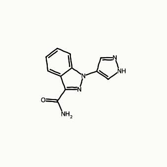 NC(=O)c1nn(-c2cn[nH]c2)c2ccccc12